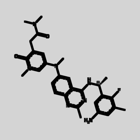 Cc1nc(N[C@H](C)c2cc(N)cc(C)c2F)c2cc(N(C)c3cc(CC(=O)N(C)C)c(=O)n(C)c3)ccc2n1